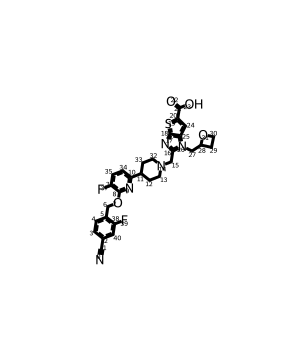 N#Cc1ccc(COc2nc(C3CCN(Cc4nc5sc(C(=O)O)cc5n4CC4CCO4)CC3)ccc2F)c(F)c1